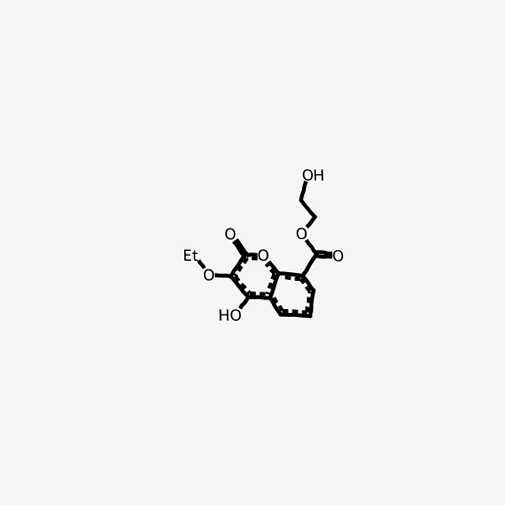 CCOc1c(O)c2cccc(C(=O)OCCO)c2oc1=O